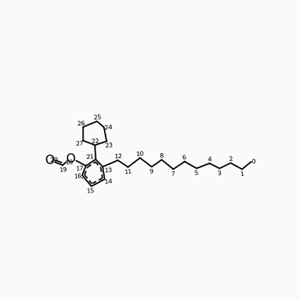 CCCCCCCCCCCCCc1cc[c]c(OC=O)c1C1CCCCC1